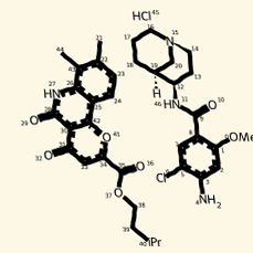 COc1cc(N)c(Cl)cc1C(=O)N[C@@H]1CC[N@]2CCC[C@H]1C2.Cc1ccc2c([nH]c(=O)c3c(=O)cc(C(=O)OCCC(C)C)oc32)c1C.Cl